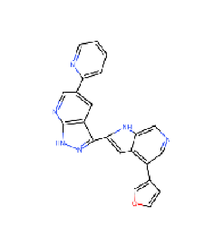 c1ccc(-c2cnc3[nH]nc(-c4cc5c(-c6ccoc6)cncc5[nH]4)c3c2)nc1